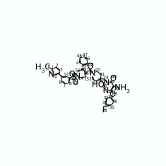 Cc1ccc(-c2cccc(S(=O)(=O)N3CC[C@@H](C(=O)N4CCC(O)(Cn5cnc(Oc6ccc(F)cc6)c(N)c5=O)CC4)[C@H](c4ccccc4)C3)c2)cn1